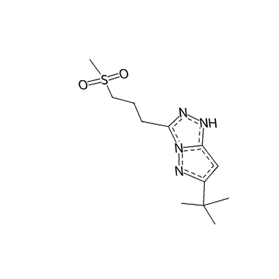 CC(C)(C)c1cc2[nH]nc(CCCS(C)(=O)=O)n2n1